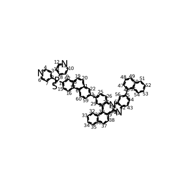 S=P(c1ccncc1)(c1ccncc1)c1ccc2c(ccc3cc(-c4ccc5c(c4)c4c6ccccc6ccc4c4nc6ccc(-c7cccc8ccccc78)cc6n54)ccc32)c1